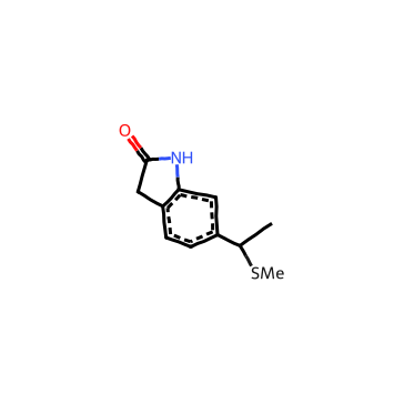 CSC(C)c1ccc2c(c1)NC(=O)C2